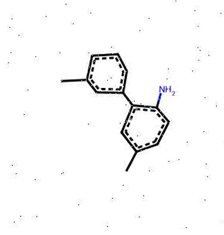 Cc1cccc(-c2cc(C)ccc2N)c1